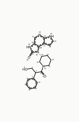 O=C(C(CO)c1ccccc1)N1CCC[C@@H](n2c(=O)[nH]c3cnc4[nH]ccc4c32)C1